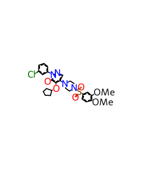 COc1ccc(S(=O)(=O)N2CCN(c3cnn(-c4cccc(Cl)c4)c(=O)c3OC3CCCC3)CC2)cc1OC